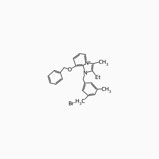 CCc1c(C)[n+]2cccc(OCc3ccccc3)c2n1Cc1cc(C)cc(C)c1.[Br-]